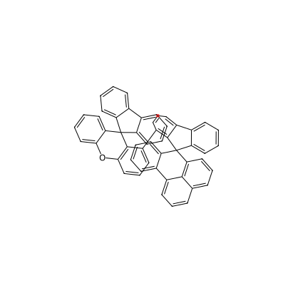 c1ccc2c(c1)Oc1cccc(-c3cccc4c3C3(c5ccccc5-4)c4ccccc4-c4cccc5cccc3c45)c1C21c2ccccc2-c2ccccc21